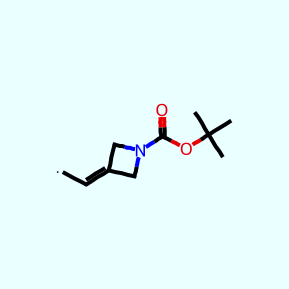 [CH2]C=C1CN(C(=O)OC(C)(C)C)C1